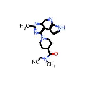 Cc1nc(N2CCC(C(=O)N(C)CC#N)CC2)c2c(cnc3[nH]ccc32)n1